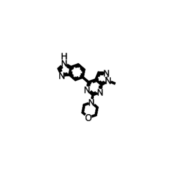 Cn1ncc2c(-c3ccc4[nH]cnc4c3)nc(N3CCOCC3)nc21